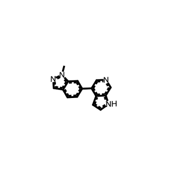 Cn1ncc2ccc(-c3cncc4[nH]ccc34)cc21